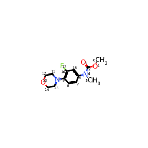 COC(=O)N(C)c1ccc(N2CCOCC2)c(F)c1